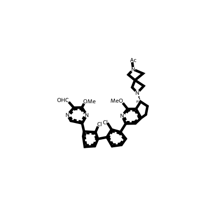 COc1nc(-c2cccc(-c3cccc(-c4cc5c(c(OC)n4)[C@H](N4CC6(CN(C(C)=O)C6)C4)CC5)c3Cl)c2Cl)cnc1C=O